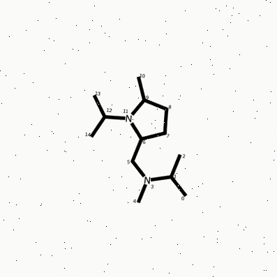 CC(C)N(C)CC1CCC(C)N1C(C)C